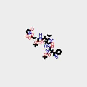 C/C(=C\[C@H](C(C)C)N(C)C(=O)[C@@H](NC(=O)[C@@H](N(C)C(=O)OC(C)(C)C)C(C)(C)c1cn(C)c2ccccc12)C(C)(C)C)C(=O)N[C@@H](CCC(=O)ON1C(=O)CCC1=O)C(=O)OC(C)(C)C